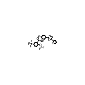 O=C(Nc1cc(-c2nnc(-c3ccco3)o2)ccc1F)c1cc(C(F)(F)F)ccc1OC(F)F